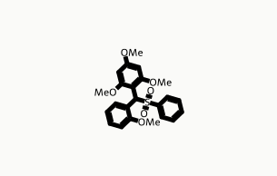 COc1cc(OC)c(C(c2ccccc2OC)S(=O)(=O)c2ccccc2)c(OC)c1